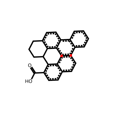 O=C(O)c1ccc2ccccc2c1C1CCCc2ccc3c(ccc4ccccc43)c21